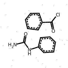 NC(=O)Nc1ccccc1.O=C(Cl)c1ccccc1